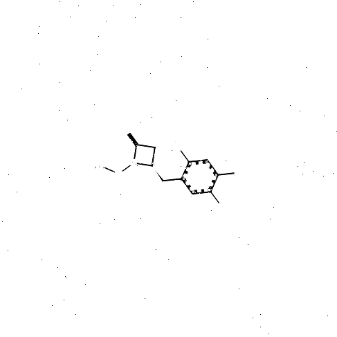 CCCCON1C(=O)C[C@H]1Cc1cc(F)c(F)cc1F